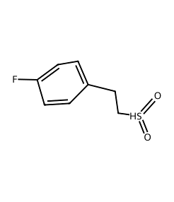 O=[SH](=O)CCc1ccc(F)cc1